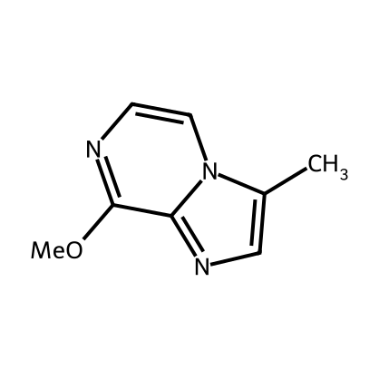 COc1nccn2c(C)cnc12